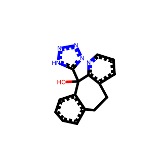 OC1(c2nnn[nH]2)c2ccccc2CCc2cccnc21